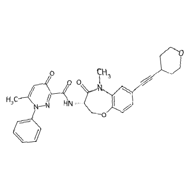 Cc1cc(=O)c(C(=O)N[C@H]2COc3ccc(C#CC4CCOCC4)cc3N(C)C2=O)nn1-c1ccccc1